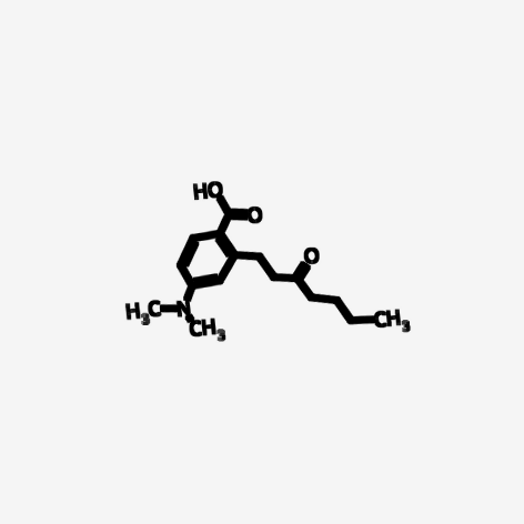 CCCCC(=O)CCc1cc(N(C)C)ccc1C(=O)O